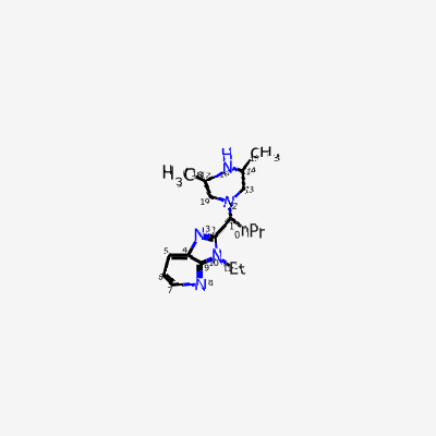 CCCC(c1nc2cccnc2n1CC)N1CC(C)NC(C)C1